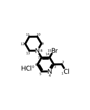 Cl.ClCc1nccc(N2CCCCC2)c1Br